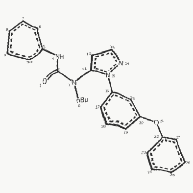 CCCCN(C(=O)Nc1ccccc1)c1ccnn1-c1cccc(Oc2ccccc2)c1